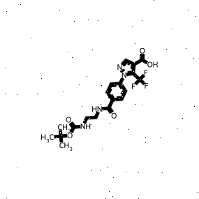 CC(C)(C)OC(=O)NCCNC(=O)c1ccc(-n2ncc(C(=O)O)c2C(F)(F)F)cc1